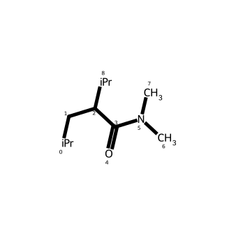 CC(C)CC(C(=O)N(C)C)C(C)C